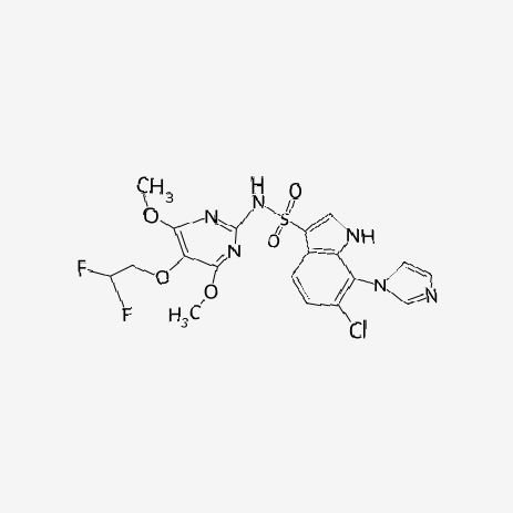 COc1nc(NS(=O)(=O)c2c[nH]c3c(-n4ccnc4)c(Cl)ccc23)nc(OC)c1OCC(F)F